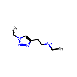 CC(C)CNCCc1cn(CC(C)C)nn1